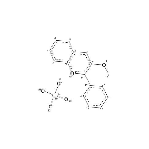 COc1cc2ccccc2[o+]c1-c1ccccc1.[O-][Cl+3]([O-])([O-])[O-]